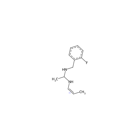 C/C=C\NC(C)NCc1ccccc1F